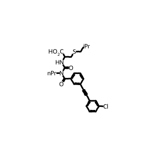 CCCN(C(=O)NC(CSCC(C)C)C(=O)O)C(=O)c1cccc(C#Cc2cccc(Cl)c2)c1